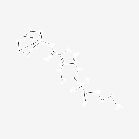 CCC(CC)(COc1noc(C(=O)NC2C3CC4CC(C3)CC2C4)c1SC(C)C)C(=O)NCCN